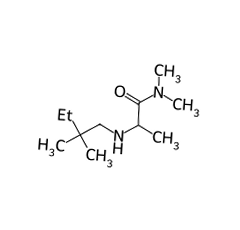 CCC(C)(C)CNC(C)C(=O)N(C)C